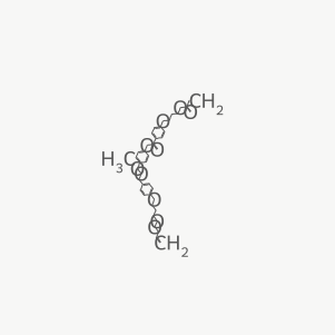 C=CCOOCCCOc1ccc(COOc2ccc(OC(=O)c3ccc(OCCCOC(=O)C=C)cc3)cc2C)cc1